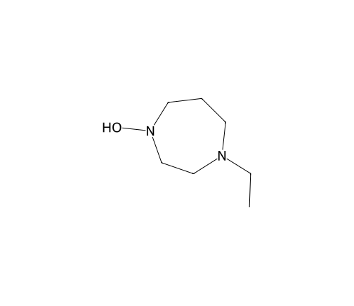 CCN1CCCN(O)CC1